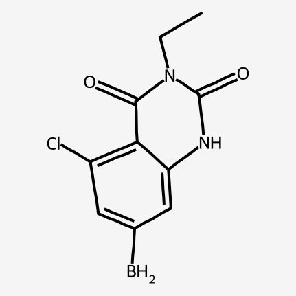 Bc1cc(Cl)c2c(=O)n(CC)c(=O)[nH]c2c1